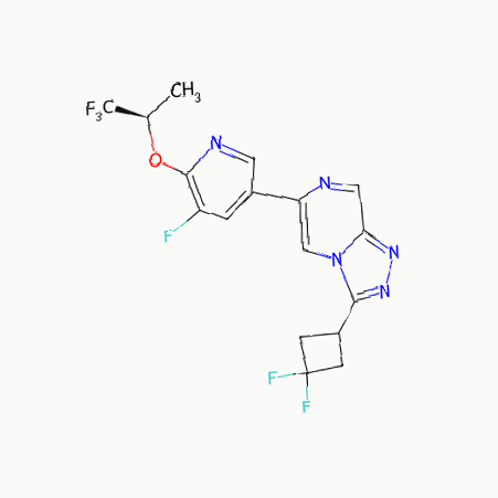 C[C@@H](Oc1ncc(-c2cn3c(C4CC(F)(F)C4)nnc3cn2)cc1F)C(F)(F)F